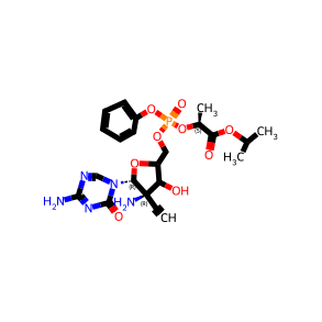 C#C[C@@]1(N)C(O)C(COP(=O)(Oc2ccccc2)O[C@@H](C)C(=O)OC(C)C)O[C@H]1n1cnc(N)nc1=O